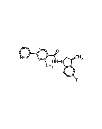 C=C1CN(NC(=O)c2cnc(-c3cccnc3)nc2C)c2ccc(F)cc21